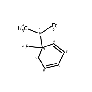 CCP(C)C1(F)C=CC=CC1